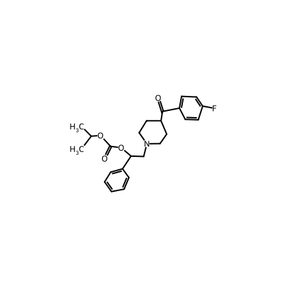 CC(C)OC(=O)OC(CN1CCC(C(=O)c2ccc(F)cc2)CC1)c1ccccc1